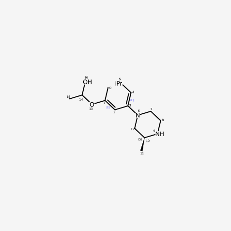 C/C(=C\C(=C/C(C)C)N1CCN[C@@H](C)C1)OC(C)O